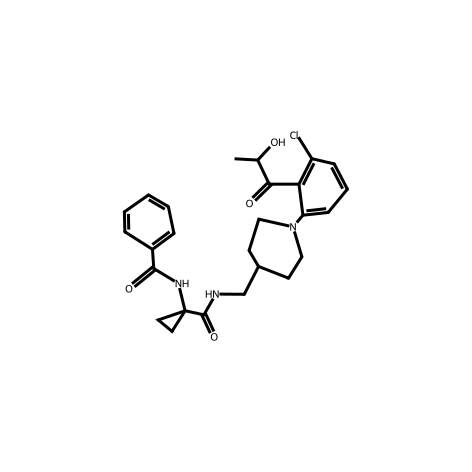 CC(O)C(=O)c1c(Cl)cccc1N1CCC(CNC(=O)C2(NC(=O)c3ccccc3)CC2)CC1